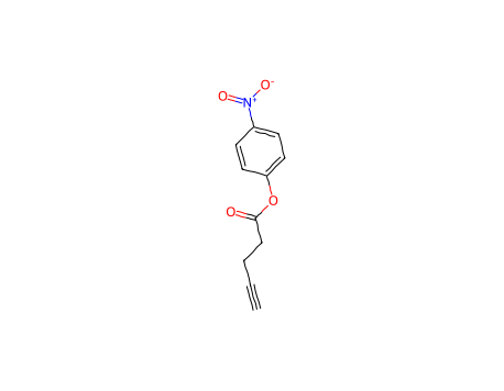 C#CCCC(=O)Oc1ccc([N+](=O)[O-])cc1